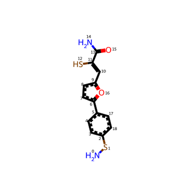 NSc1ccc(-c2ccc(/C=C(\S)C(N)=O)o2)cc1